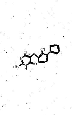 CCCCc1nc(C)c(Cc2cccc(-c3ccccc3)c2C#N)c(=O)[nH]1